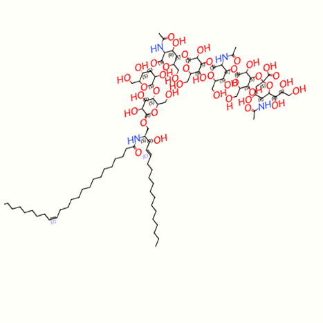 CCCCCCCC/C=C\CCCCCCCCCCCCCC(=O)N[C@@H](CO[C@@H]1OC(CO)[C@@H](O[C@@H]2OC(CO)[C@H](O)[C@H](O[C@@H]3OC(CO)[C@@H](O[C@@H]4OC(CO)[C@H](O)[C@H](O[C@@H]5OC(CO)[C@@H](O)[C@H](O[C@@H]6OC(CO)[C@H](O)[C@H](O[C@]7(C(=O)O)CC(O)[C@@H](NC(C)=O)C([C@H](O)[C@H](O)CO)O7)C6O)C5NC(C)=O)C4O)[C@H](O)C3NC(C)=O)C2O)[C@H](O)C1O)[C@H](O)/C=C/CCCCCCCCCCCCC